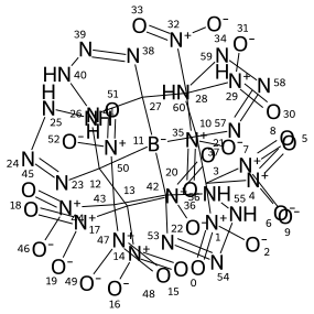 O=[N+]([O-])C([N+](=O)[O-])([N+](=O)[O-])C1([B-](C2(C([N+](=O)[O-])([N+](=O)[O-])[N+](=O)[O-])N=NNN2)(C2(C([N+](=O)[O-])([N+](=O)[O-])[N+](=O)[O-])N=NNN2)C2(C([N+](=O)[O-])([N+](=O)[O-])[N+](=O)[O-])N=NNN2)N=NNN1